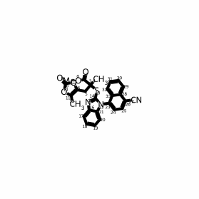 COC(=O)C(C)(Cc1oc(=O)oc1C)Sc1nc2ccccc2n1-c1ccc(C#N)c2ccccc12